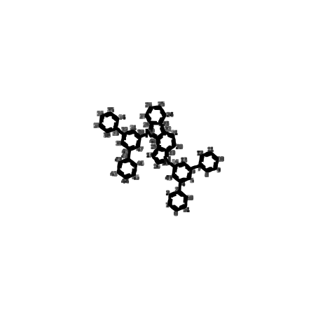 c1ccc(-c2cc(-c3ccccc3)cc(-n3ccc4c3ccc3c5ccccc5n(-c5cc(-c6ccccc6)cc(-c6ccccc6)c5)c34)c2)cc1